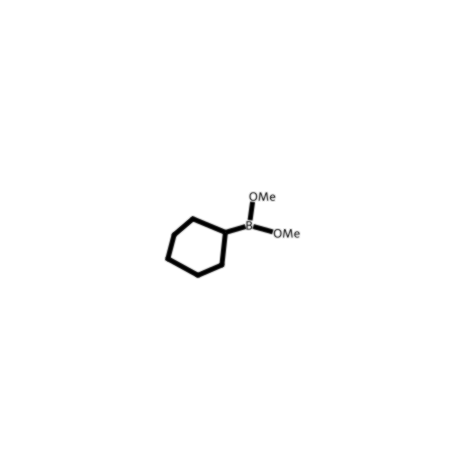 COB(OC)C1CCCCC1